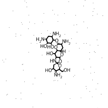 NC1C[C@@H]2OC3O[C@@]4(CC(O)[C@H](N)C(CO)O4)NC3C(O)C2O[C@@H]1O[C@@H]1C(N)C[C@@H](N)C(O)C1O